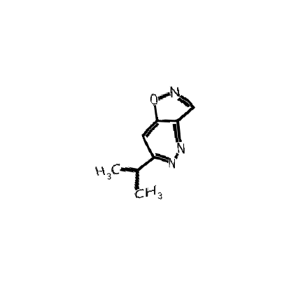 CC(C)c1cc2oncc2nn1